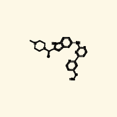 CCCCOc1ccnc(-c2ccnc(Nc3ccc4[nH]c(C(=O)N5CCN(C)CC5)cc4c3)n2)c1